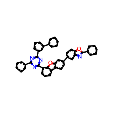 c1ccc(-c2cccc(-c3nc(-c4ccccc4)nc(-c4cccc5c4oc4cc(-c6ccc7oc(-c8ccccc8)nc7c6)ccc45)n3)c2)cc1